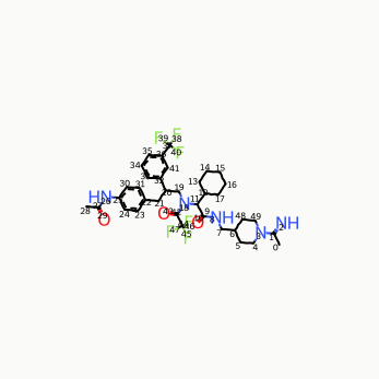 CC(=N)N1CCC(CNC(=O)C(C2CCCCC2)N(CC(Cc2ccc(NC(C)=O)cc2)c2cccc(C(F)(F)F)c2)C(=O)C(F)(F)F)CC1